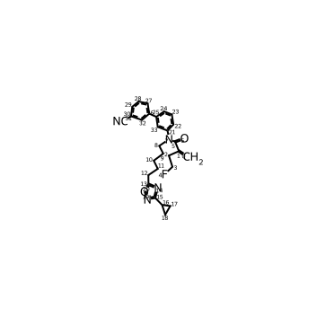 C=C(CCF)C(=O)N(CCCCCc1nc(C2CC2)no1)c1cccc(-c2cccc(C#N)c2)c1